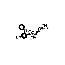 CC(=O)OCCCS(=O)(=O)NC(=O)c1ccc(Br)cc1OC1CCCCC1